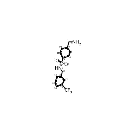 NCc1ccc(S(=O)(=O)NCc2cccc(C(F)(F)F)c2)cc1